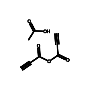 C#CC(=O)OC(=O)C#C.CC(=O)O